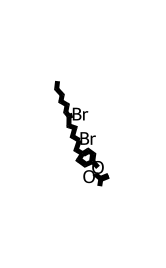 C=C(C)C(=O)Oc1ccc(CC(Br)CCCC(Br)CCCCCC)cc1